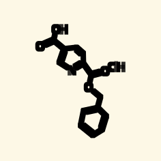 Cl.O=C(O)c1ccc(C(=O)OCc2ccccc2)nc1